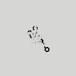 C[C@H](Nc1nc(Nc2cc(COc3ccccc3)[nH]n2)nc(N2CCOCC2)n1)c1ncc(F)cn1